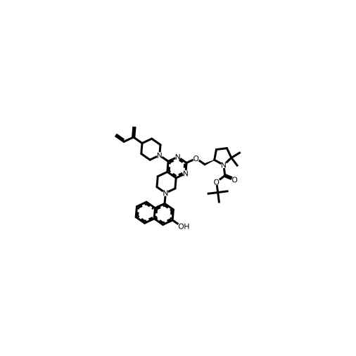 C=CC(=C)C1CCN(c2nc(OC[C@H]3CCC(C)(C)N3C(=O)OC(C)(C)C)nc3c2CCN(c2cc(O)cc4ccccc24)C3)CC1